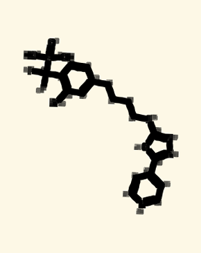 O=P(O)(O)C(F)(F)c1ccc(CCCCSc2nnc(-c3ccncc3)o2)cc1Br